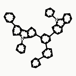 c1ccc(-c2cccc(-c3cc(-c4ccc5c6ccccc6n(-c6ccccc6)c5c4)cc(-c4ccc5c6cc(-c7ccccc7)ccc6n(-c6ccccc6)c5c4)c3)c2)cc1